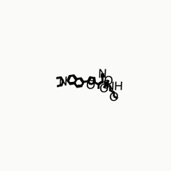 CCN(CC)c1ccc2cc(-c3ccc(/C(C)=C(\C#N)S(=O)(=O)NCCOC)o3)ccc2c1